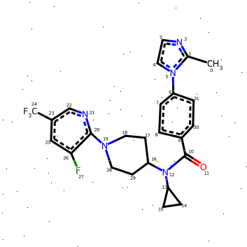 Cc1nccn1-c1ccc(C(=O)N(C2CC2)C2CCN(c3ncc(C(F)(F)F)cc3F)CC2)cc1